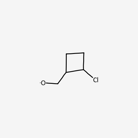 [O]CC1CCC1Cl